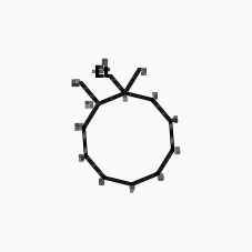 C[CH]C1(C)CCCCCCCCC1C